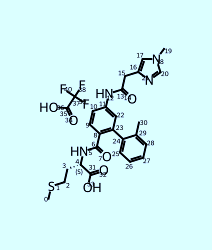 CSCC[C@H](NC(=O)c1ccc(NC(=O)Cc2cn(C)cn2)cc1-c1ccccc1C)C(=O)O.O=C(O)C(F)(F)F